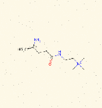 C[N+](C)(C)CCNC(=O)CC[C@H](N)C(=O)O